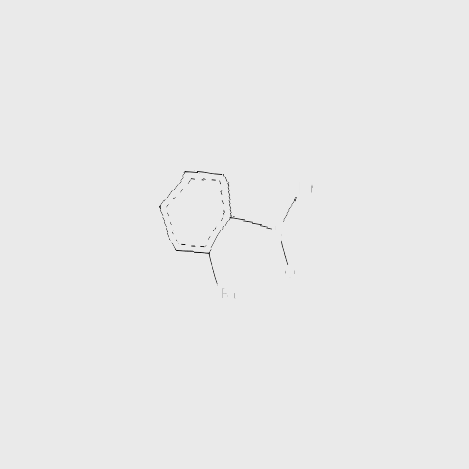 CCC(C)c1ccccc1[S+]([O-])CC